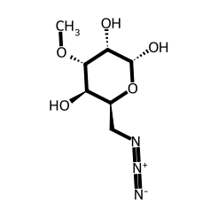 CO[C@@H]1[C@H](O)[C@H](O)O[C@@H](CN=[N+]=[N-])[C@H]1O